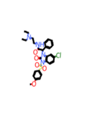 CCN(CC)CCNC(=O)C(c1ccccc1)n1c(=O)n(S(=O)(=O)c2ccc(OC)cc2)c2ccc(Cl)cc21